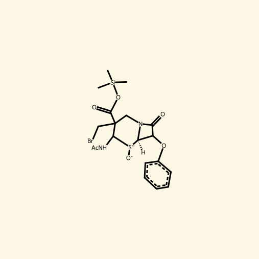 CC(=O)NC1[S+]([O-])[C@@H]2C(Oc3ccccc3)C(=O)N2CC1(CBr)C(=O)O[Si](C)(C)C